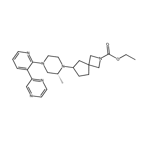 CCOC(=O)N1CC2(CCC(N3CCN(c4ncccc4-c4cnccn4)C[C@H]3C)C2)C1